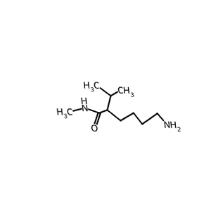 CNC(=O)C(CCCCN)C(C)C